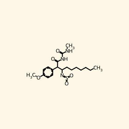 CCCCCCCC(N=S(=O)=O)C(C(=O)NC(=O)NC)c1ccc(OC)cc1